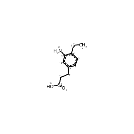 CSc1ccc(CCS(=O)O)cc1N